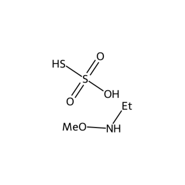 CCNOC.O=S(=O)(O)S